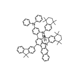 CC1(C)CCC(C)(C)c2cc(Nc3cc(N(c4ccccc4)c4ccccc4)ccc3-c3cc(-c4ccc5c(c4)-c4ccccc4C5(C)C)c4c5cc6ccccc6cc5n5c4c3Bc3cc4c(cc3-5)C(C)(C)CCC4(C)C)ccc21